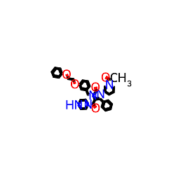 CC(=O)N1CCCC(n2c(-c3ccccc3)c(C(=O)N3CCNCC3)n(Cc3cccc(OCCOc4ccccc4)c3)c2=O)C1